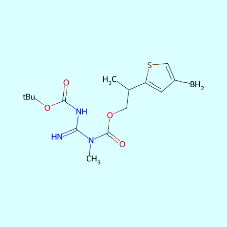 Bc1csc(C(C)COC(=O)N(C)C(=N)NC(=O)OC(C)(C)C)c1